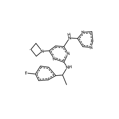 CC(Nc1nc(Nc2cnccn2)cc(N2C[CH]C2)n1)c1ccc(F)cc1